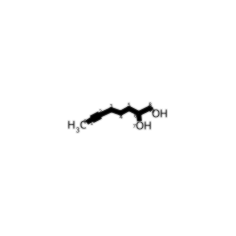 CC#CCCCC(O)CO